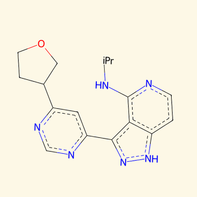 CC(C)Nc1nccc2[nH]nc(-c3cc(C4CCOC4)ncn3)c12